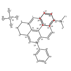 CN(C)c1ccc(/C=C2/CCCc3c[n+](-c4ccccc4)c4ccc5ccccc5c4c32)cc1.[O-][Cl+3]([O-])([O-])[O-]